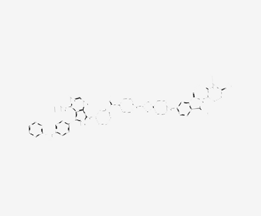 Nc1ncnc2c1c(-c1ccc(Oc3ccccc3)cc1)nn2[C@@H]1CCCN(C(=O)C2CCN(C3CC4(CCN(c5ccc6c(c5)C(=O)N(C5CCC(=O)NC5=O)C6=O)CC4)C3)CC2)C1